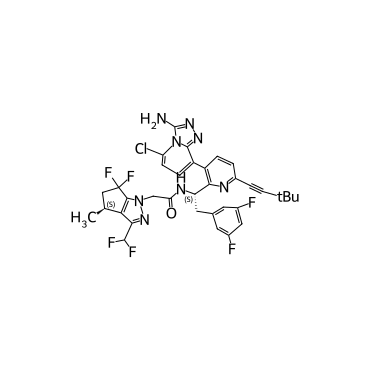 C[C@H]1CC(F)(F)c2c1c(C(F)F)nn2CC(=O)N[C@@H](Cc1cc(F)cc(F)c1)c1nc(C#CC(C)(C)C)ccc1-c1ccc(Cl)n2c(N)nnc12